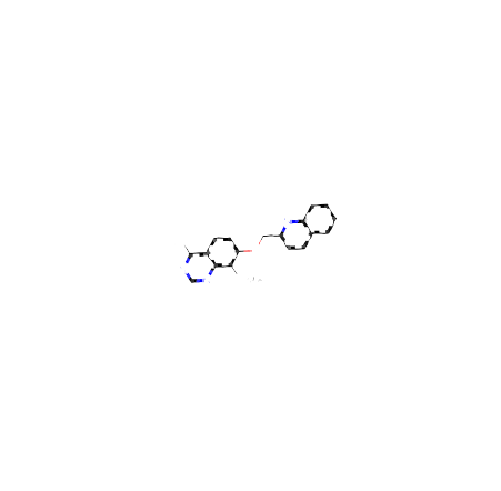 COc1c(OCc2ccc3ccccc3n2)ccc2c(C)ncnc12